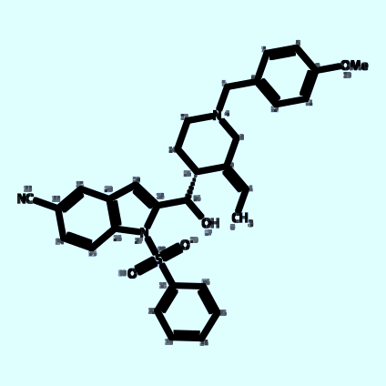 C/C=C1/CN(Cc2ccc(OC)cc2)CC[C@H]1C(O)c1cc2cc(C#N)ccc2n1S(=O)(=O)c1ccccc1